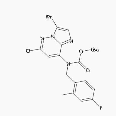 Cc1cc(F)ccc1CN(C(=O)OC(C)(C)C)c1cc(Cl)nn2c(C(C)C)cnc12